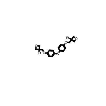 CCC1(COc2ccc(Sc3ccc(OCC4(CC)COC4)cc3)cc2)COC1